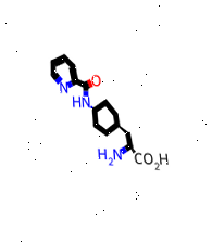 N[C@@H](C[C@H]1CC[C@H](NC(=O)c2ccccn2)CC1)C(=O)O